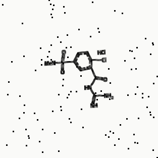 CNS(=O)(=O)c1ccc(Cl)c(C(=O)NC(=N)N)c1.Cl